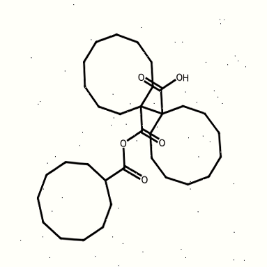 O=C(OC(=O)C1(C2(C(=O)O)CCCCCCCCC2)CCCCCCCCC1)C1CCCCCCCCC1